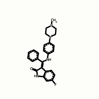 CN1CCN(c2ccc(NC(=C3C(=O)Nc4cc(F)ccc43)c3ccccc3)cc2)CC1